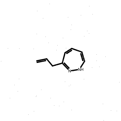 C=CCC1=NNC=CC=C1